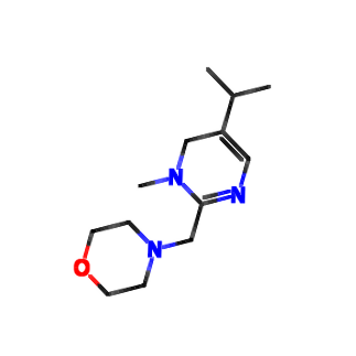 CC(C)C1=CN=C(CN2CCOCC2)N(C)C1